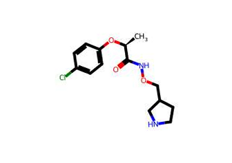 C[C@H](Oc1ccc(Cl)cc1)C(=O)NOCC1CCNC1